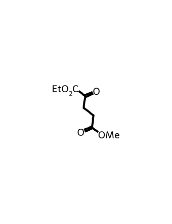 CCOC(=O)C(=O)CCC(=O)OC